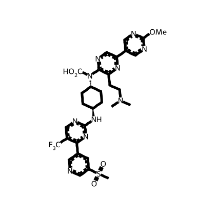 COc1ncc(-c2cnc(N(C(=O)O)[C@H]3CC[C@H](Nc4ncc(C(F)(F)F)c(-c5cncc(S(C)(=O)=O)c5)n4)CC3)c(CCN(C)C)n2)cn1